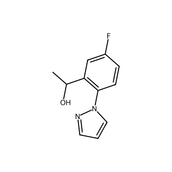 CC(O)c1cc(F)ccc1-n1cccn1